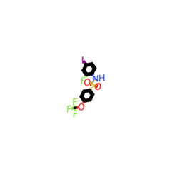 O=S(=O)(Nc1ccc(I)cc1F)c1ccc(OC(F)(F)F)cc1